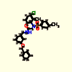 Cc1ccc(S(=O)(=O)N(CC(=O)NCc2cccc(OCc3ccccc3)c2)c2cccc(Cl)c2C)cc1